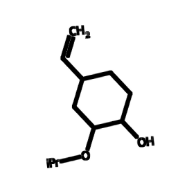 C=CC1CCC(O)C(OC(C)C)C1